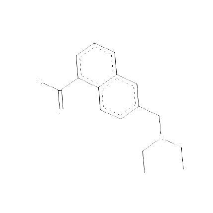 CCN(CC)Cc1ccc2c(C(N)=O)cccc2c1